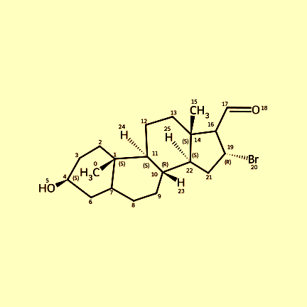 C[C@]12CC[C@H](O)CC1CC[C@@H]1[C@@H]2CC[C@]2(C)C(C=O)[C@H](Br)C[C@@H]12